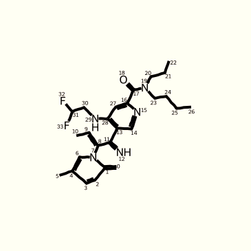 C=C1C=CC(C)=CN1/C(=C\C)C(=N)c1cnc(C(=O)N(CCC)CCCC)cc1NCC(F)F